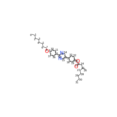 CCCCCCCCOc1ccc(-c2ncc(-c3ccc(OC(=O)CC(C)CCCCC)cc3)cn2)cc1